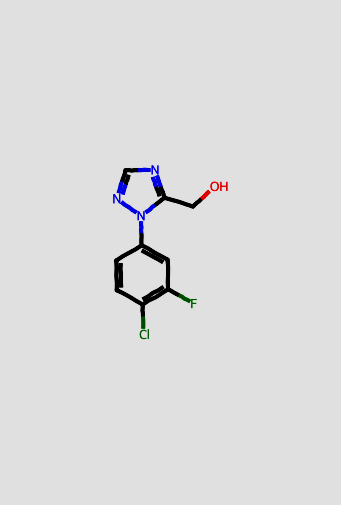 OCc1ncnn1-c1ccc(Cl)c(F)c1